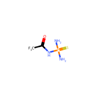 NP(N)(=S)NC(=O)C(F)(F)F